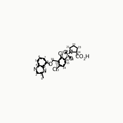 Cc1cnc2cccc(OCc3c(Cl)ccc(S(=O)(=O)N4CCC[C@H]4C(=O)O)c3Cl)c2n1